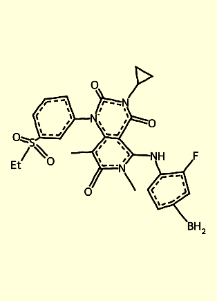 Bc1ccc(Nc2c3c(=O)n(C4CC4)c(=O)n(-c4cccc(S(=O)(=O)CC)c4)c3c(C)c(=O)n2C)c(F)c1